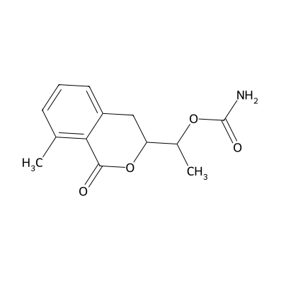 Cc1cccc2c1C(=O)OC(C(C)OC(N)=O)C2